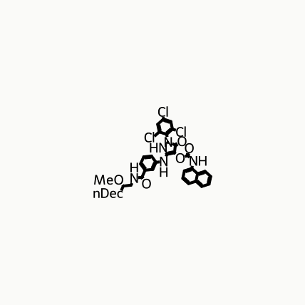 CCCCCCCCCCC(CNC(=O)c1cccc(Nc2[nH]n(-c3c(Cl)cc(Cl)cc3Cl)c(=O)c2OC(=O)Nc2cccc3ccccc23)c1)OC